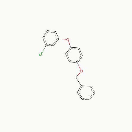 Clc1cccc(Oc2[c]cc(OCc3ccccc3)cc2)c1